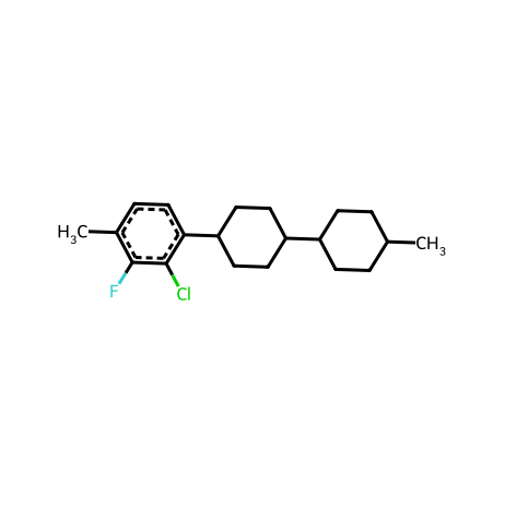 Cc1ccc(C2CCC(C3CCC(C)CC3)CC2)c(Cl)c1F